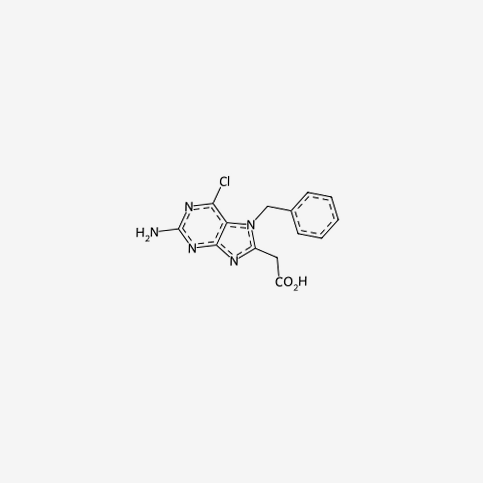 Nc1nc(Cl)c2c(n1)nc(CC(=O)O)n2Cc1ccccc1